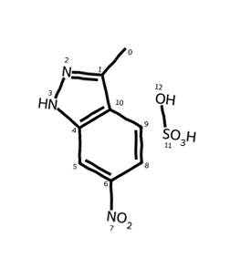 Cc1n[nH]c2cc([N+](=O)[O-])ccc12.O=S(=O)(O)O